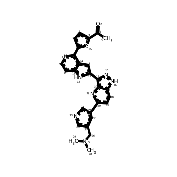 CC(=O)c1ccc(-c2nccc3[nH]c(-c4n[nH]c5ccc(-c6cncc(CN(C)C)c6)nc45)cc23)s1